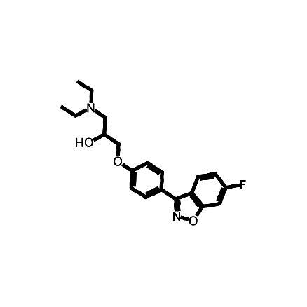 CCN(CC)CC(O)COc1ccc(-c2noc3cc(F)ccc23)cc1